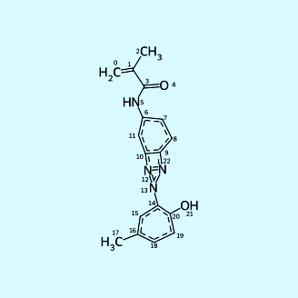 C=C(C)C(=O)Nc1ccc2c(c1)n1n(-c3cc(C)ccc3O)n21